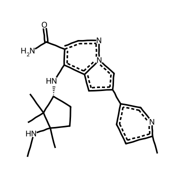 CNC1(C)CC[C@@H](Nc2c(C(N)=O)cnn3cc(-c4ccc(C)nc4)cc23)C1(C)C